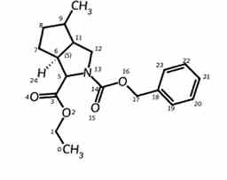 CCOC(=O)C1[C@H]2CCC(C)C2CN1C(=O)OCc1ccccc1